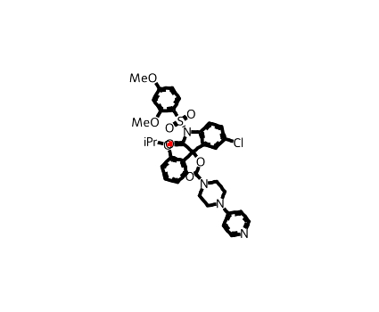 COc1ccc(S(=O)(=O)N2C(=O)C(OC(=O)N3CCN(c4ccncc4)CC3)(c3ccccc3OC(C)C)c3cc(Cl)ccc32)c(OC)c1